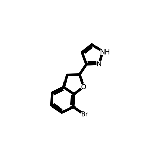 Brc1cccc2c1OC(c1cc[nH]n1)C2